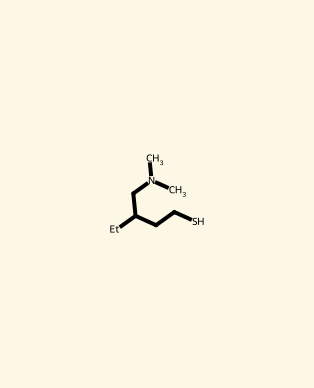 CCC(CCS)CN(C)C